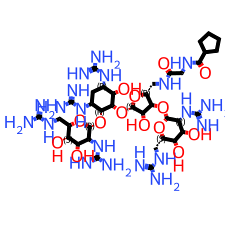 N=C(N)NCC1O[C@H](O[C@@H]2C(NC(=N)N)C[C@@H](NC(=N)N)C(O)C2O[C@@H]2O[C@H](CNC(=O)CNC(=O)C3CCCC3)C(OC3O[C@@H](CNC(=N)N)C(O)C(O)[C@H]3NC(=N)N)C2O)C(NC(=N)N)C(O)[C@@H]1O